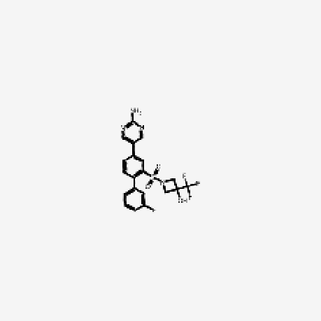 Nc1ncc(-c2ccc(-c3cccc(F)c3)c(S(=O)(=O)N3CC(O)(C(F)(F)F)C3)c2)cn1